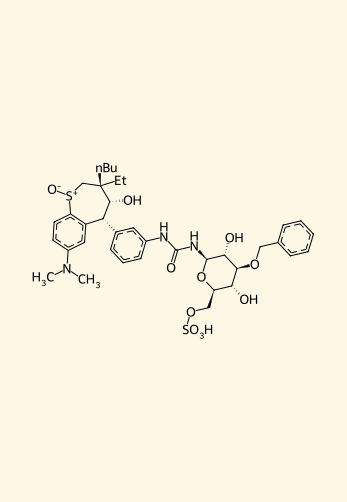 CCCC[C@]1(CC)C[S+]([O-])c2ccc(N(C)C)cc2[C@@H](c2cccc(NC(=O)N[C@@H]3O[C@H](COS(=O)(=O)O)[C@@H](O)[C@H](OCc4ccccc4)[C@H]3O)c2)[C@H]1O